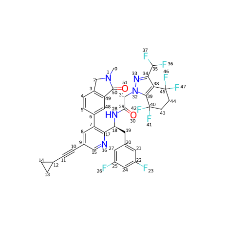 CN1Cc2ccc(-c3cc(C#CC4CC4)cnc3[C@H](Cc3cc(F)cc(F)c3)NC(=O)Cn3nc(C(F)F)c4c3C(F)(F)CCC4(F)F)cc2C1=O